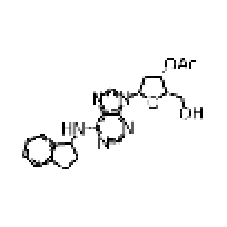 CC(=O)O[C@H]1C[C@H](n2cnc3c(N[C@H]4CCc5ccccc54)ncnc32)O[C@@H]1CO